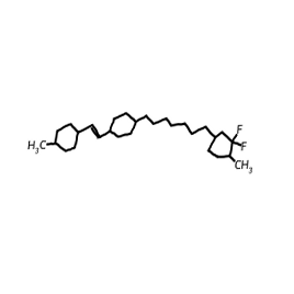 CC1CCC(C=CC2CCC(CCCCCCCC3CCC(C)C(F)(F)C3)CC2)CC1